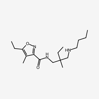 CCCCNCC(C)(CC)CNC(=O)c1noc(CC)c1C